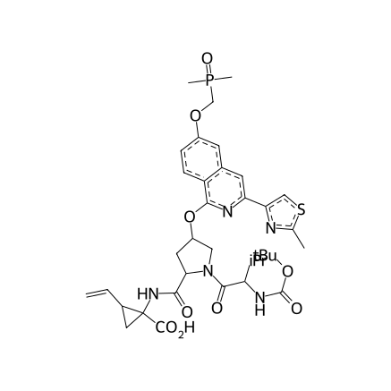 C=CC1CC1(NC(=O)C1CC(Oc2nc(-c3csc(C)n3)cc3cc(OCP(C)(C)=O)ccc23)CN1C(=O)C(NC(=O)OC(C)(C)C)C(C)C)C(=O)O